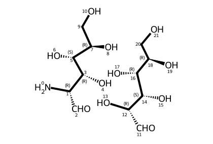 N[C@@H](C=O)[C@@H](O)[C@H](O)[C@H](O)CO.O=C[C@H](O)[C@@H](O)[C@H](O)[C@H](O)CO